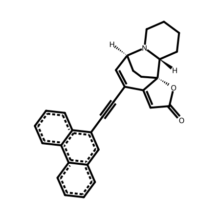 O=C1C=C2C(C#Cc3cc4ccccc4c4ccccc34)=C[C@@H]3CC[C@@]2(O1)[C@H]1CCCCN31